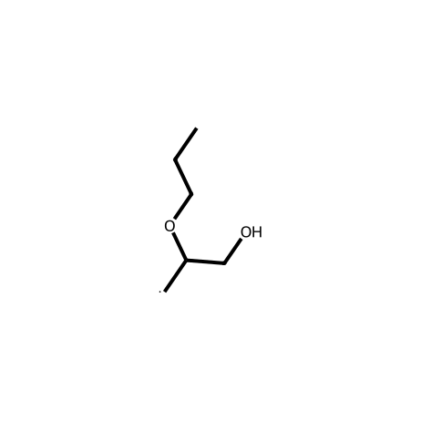 [CH2]C(CO)OCCC